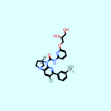 Cl.O=C(Nc1cccc(OC[C@@H](O)CO)n1)N1c2nc(-c3cccc(C(F)(F)F)c3)c(Cl)cc2N2CC[C@H]1C2